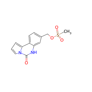 CS(=O)(=O)OCc1ccc2c(c1)[nH]c(=O)n1cccc21